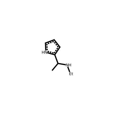 CCNC(C)c1ccc[nH]1